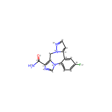 NC(=O)c1ncn2c1Cn1nccc1-c1cc(F)ccc1-2